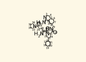 Nc1nccc2ccc(CNC(=O)C3CC(c4ccccc4)CN3C(=O)[C@@H](N)CCC(=O)N3CCCC3)cc12